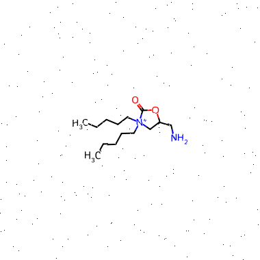 CCCCC[N+]1(CCCCC)CC(CN)OC1=O